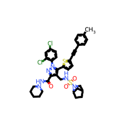 Cc1ccc(C#Cc2ccc(-c3c(CNS(=O)(=O)N4CC5CCC4C5)c(C(=O)NN4CCCCC4)nn3-c3ccc(Cl)cc3Cl)s2)cc1